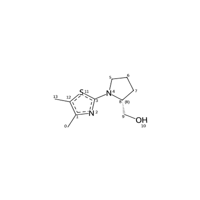 Cc1nc(N2CCC[C@@H]2CO)sc1C